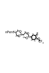 CCCCC[C@H]1CO[C@H]([C@H]2CO[C@H](c3ccc(OC(F)(F)F)c(F)c3)OC2)OC1